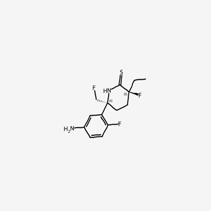 CC[C@]1(F)CC[C@@](CF)(c2cc(N)ccc2F)NC1=S